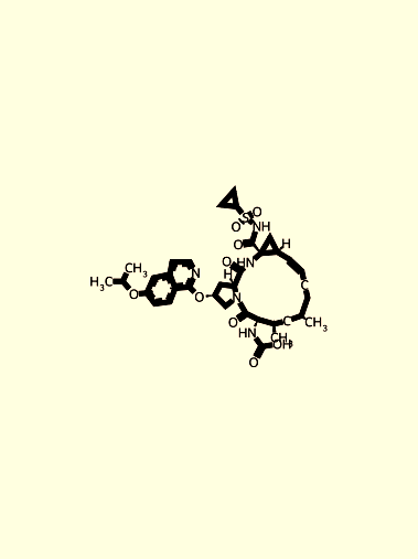 CC(C)Oc1ccc2c(O[C@@H]3C[C@H]4C(=O)N[C@]5(C(=O)NS(=O)(=O)C6CC6)C[C@H]5/C=C\CC[C@H](C)C[C@@H](C)[C@H](NC(=O)O)C(=O)N4C3)nccc2c1